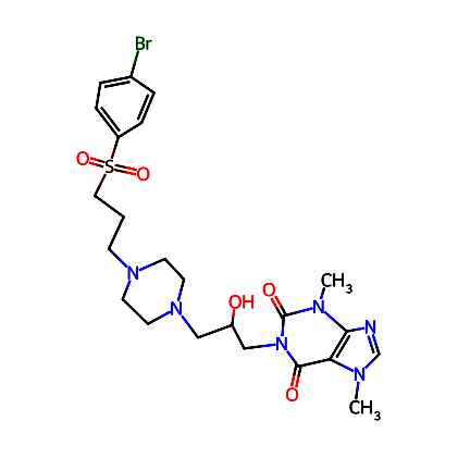 Cn1cnc2c1c(=O)n(CC(O)CN1CCN(CCCS(=O)(=O)c3ccc(Br)cc3)CC1)c(=O)n2C